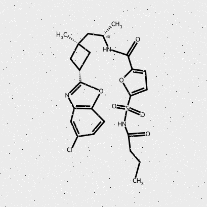 CCCC(=O)NS(=O)(=O)c1ccc(C(=O)N[C@@H](C)C[C@]2(C)C[C@@H](c3nc4cc(Cl)ccc4o3)C2)o1